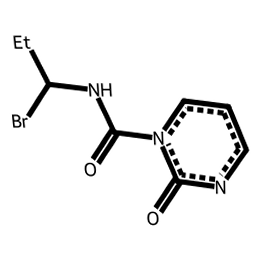 CCC(Br)NC(=O)n1cccnc1=O